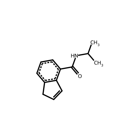 CC(C)NC(=O)c1cccc2c1C=CC2